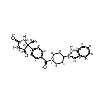 CC(C)[C@]1(c2ccc(C(=O)N3CCC(n4cc5ccccc5n4)CC3)cc2)NC(=O)NC1=O